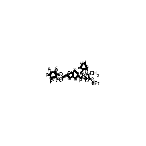 CCCOC(=O)[C@H](C)N[P@@](=O)(Oc1ccccc1)[C@H](F)c1ccc2sc(C(=O)Oc3c(F)c(F)c(F)c(F)c3F)cc2c1